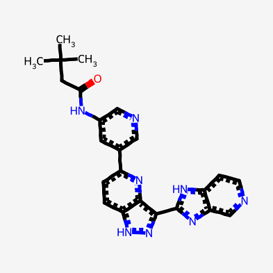 CC(C)(C)CC(=O)Nc1cncc(-c2ccc3[nH]nc(-c4nc5cnccc5[nH]4)c3n2)c1